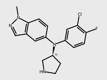 Cn1ncc2cc(N(c3ccc(F)c(Cl)c3)[C@H]3CCNC3)ccc21